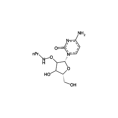 CCCNOC1C(O)[C@@H](CO)O[C@H]1n1ccc(N)nc1=O